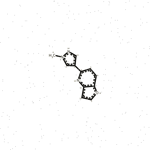 Cn1cc(-c2ccc3occc3n2)cn1